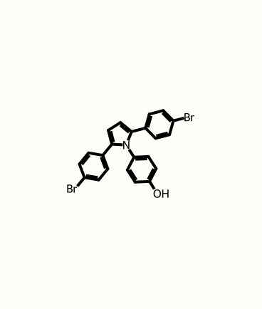 Oc1ccc(-n2c(-c3ccc(Br)cc3)ccc2-c2ccc(Br)cc2)cc1